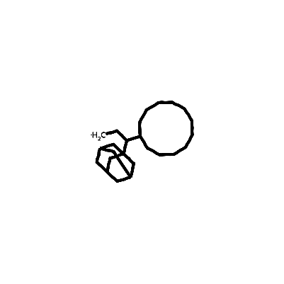 [CH2]CC(C1CCCCCCCCCCC1)C12CC3CC(CC(C3)C1)C2